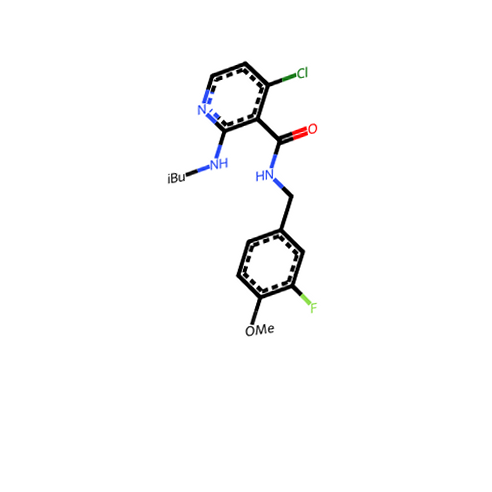 CCC(C)Nc1nccc(Cl)c1C(=O)NCc1ccc(OC)c(F)c1